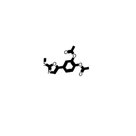 CSc1ncc(-c2ccc(OC(C)=O)c(OC(C)=O)c2)o1